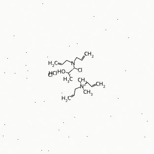 C=CCN(CC=C)C(Cl)C(C)O.C=CC[N+](C)(C)CC=C.Cl.[Cl-]